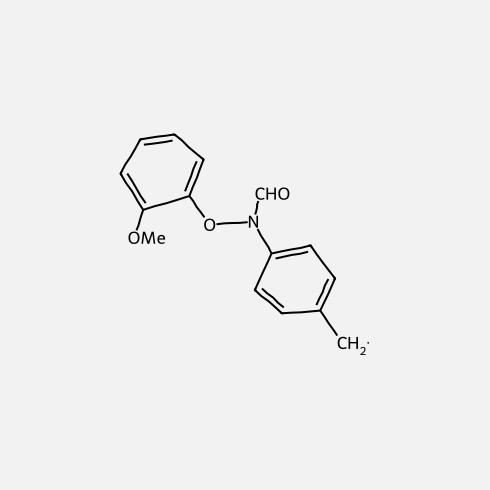 [CH2]c1ccc(N(C=O)Oc2ccccc2OC)cc1